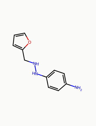 Nc1ccc(NNCc2ccco2)cc1